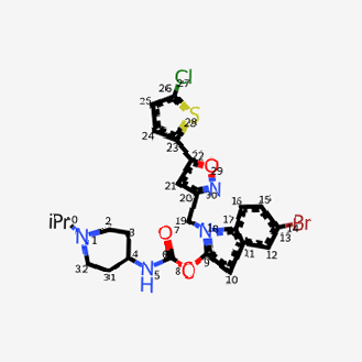 CC(C)N1CCC(NC(=O)Oc2cc3cc(Br)ccc3n2Cc2cc(-c3ccc(Cl)s3)on2)CC1